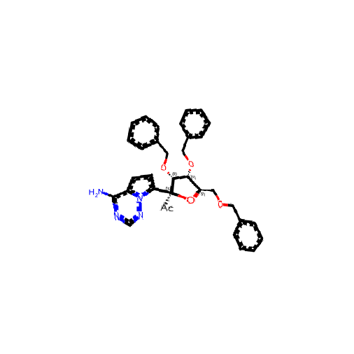 CC(=O)[C@@]1(c2ccc3c(N)ncnn23)O[C@H](COCc2ccccc2)[C@@H](OCc2ccccc2)[C@H]1OCc1ccccc1